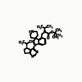 CC(C)[C@@H]1CCc2ncnc(N3CC4(CCNCC4)c4c(CN(C(=O)OC(C)(C)C)C(C)C)cccc43)c21